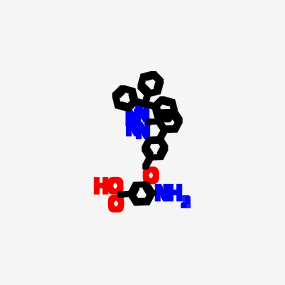 Nc1ccc(C(=O)O)cc1OCc1ccc(-c2ccccc2-c2nnnn2C(c2ccccc2)(c2ccccc2)c2ccccc2)cc1